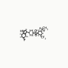 CC(F)(F)c1cc(C(F)(F)F)cc(S(=O)(=O)N2CCC(c3c[nH]c4ccc(F)cc34)CC2)c1